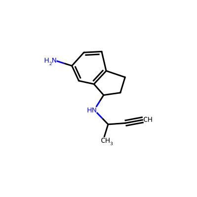 C#CC(C)NC1CCc2ccc(N)cc21